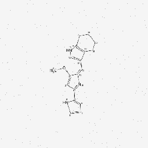 COC1=CC(c2ccc[nH]2)=NC1=Cc1c[nH]c2c1CCCC2